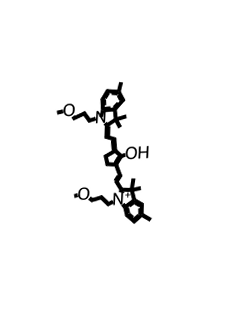 COCCCN1/C(=C/C=C2\CCC(/C=C/C3=[N+](CCCOC)c4ccc(C)cc4C3(C)C)=C2O)C(C)(C)c2cc(C)ccc21